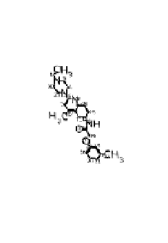 CCN1CCN(c2cc(C)c3cc(NC(=O)COc4cccc(C)c4)ccc3n2)CC1